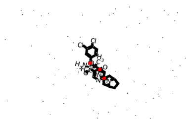 CC(C)(Oc1ccc(Cl)c(Cl)c1)C(=O)NC1CC2CCC(C1)N2c1ccc(S(N)(=O)=O)cn1